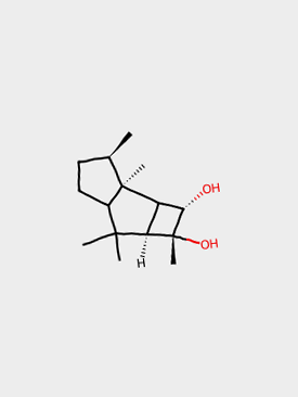 C[C@@H]1CCC2C(C)(C)[C@H]3C([C@H](O)[C@]3(C)O)[C@@]21C